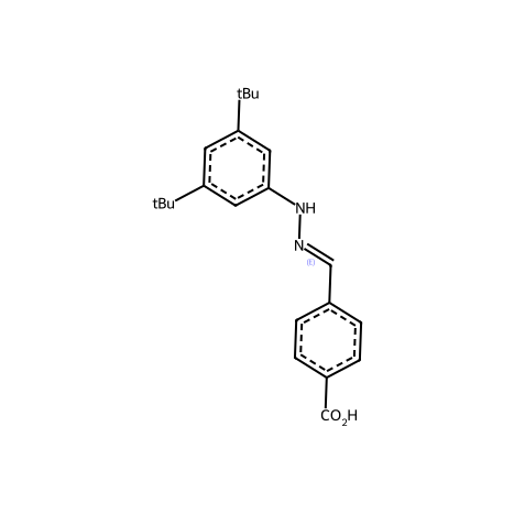 CC(C)(C)c1cc(N/N=C/c2ccc(C(=O)O)cc2)cc(C(C)(C)C)c1